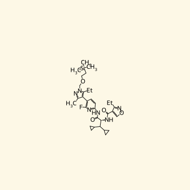 CCc1nocc1C(=O)N[C@H](C(=O)Nc1ccc(-c2c(C)nn(COCC[Si](C)(C)C)c2CC)c(F)n1)C(C1CC1)C1CC1